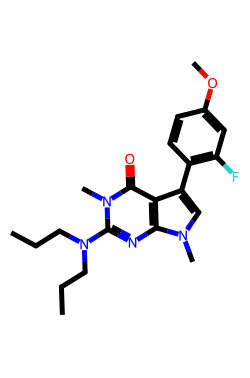 CCCN(CCC)c1nc2c(c(-c3ccc(OC)cc3F)cn2C)c(=O)n1C